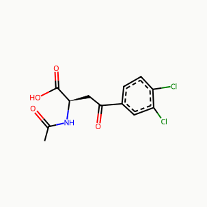 CC(=O)N[C@H](CC(=O)c1ccc(Cl)c(Cl)c1)C(=O)O